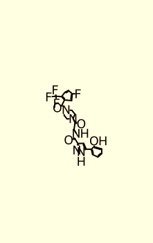 O=C(NCC(=O)N1CCN(C(=O)c2cc(F)ccc2C(F)(F)F)CC1)c1cc(-c2ccccc2O)[nH]n1